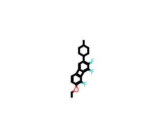 CCOc1ccc2c(c1F)-c1c-2cc(C2CCC(C)CC2)c(F)c1F